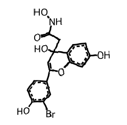 O=C(CC1(O)C=C(c2ccc(O)c(Br)c2)Oc2cc(O)ccc21)NO